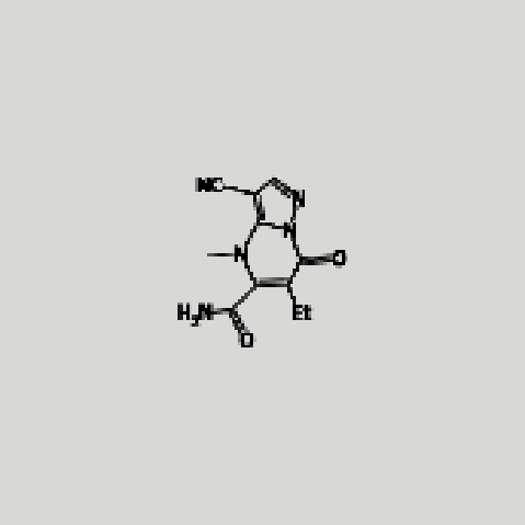 CCc1c(C(N)=O)n(C)c2c(C#N)cnn2c1=O